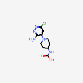 Nc1nnc(Cl)cc1N1CCC(NC(=O)O)CC1